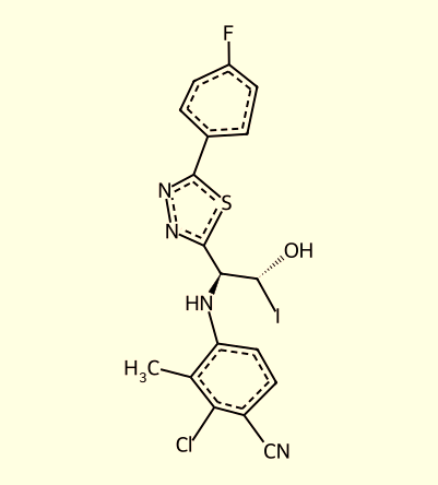 Cc1c(N[C@@H](c2nnc(-c3ccc(F)cc3)s2)[C@H](O)I)ccc(C#N)c1Cl